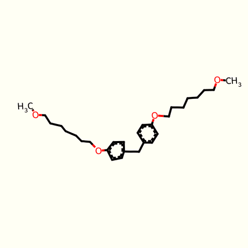 COCCCCCCCOc1ccc(Cc2ccc(OCCCCCCCOC)cc2)cc1